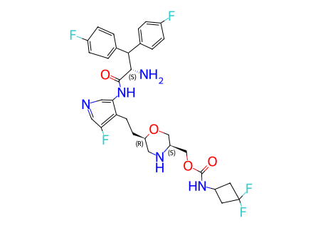 N[C@H](C(=O)Nc1cncc(F)c1CC[C@@H]1CN[C@H](COC(=O)NC2CC(F)(F)C2)CO1)C(c1ccc(F)cc1)c1ccc(F)cc1